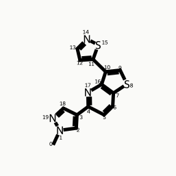 Cn1cc(-c2ccc3scc(-c4ccns4)c3n2)cn1